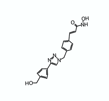 O=C(C=Cc1ccc(Cn2cc(-c3ccc(CO)cc3)nn2)cc1)NO